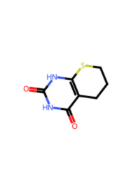 O=c1[nH]c2c(c(=O)[nH]1)CCCS2